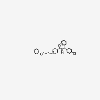 O=C(NC(c1ccc(Cl)cc1)c1ccccn1)C1CCN(CCCCOc2ccccc2)CC1